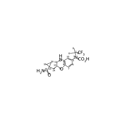 CC(C)(N(C(=O)O)c1ccc2c(c1)NC[C@H](CC1(C(N)=O)CC1)O2)C(F)(F)F